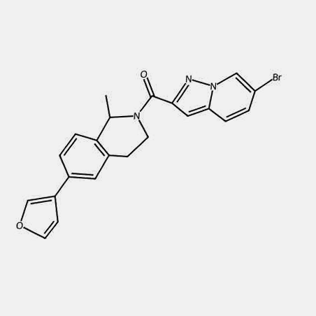 CC1c2ccc(-c3ccoc3)cc2CCN1C(=O)c1cc2ccc(Br)cn2n1